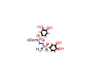 CCCCCCCCCCN(CCN(C)S(=O)(=O)c1ccc(O)c(O)c1)S(=O)(=O)c1ccc(O)c(O)c1